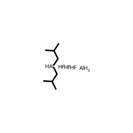 CC(C)[CH2][AlH][CH2]C(C)C.F.F.F.[AlH3]